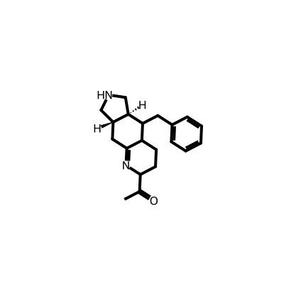 CC(=O)C1CCC2C(=N1)C[C@@H]1CNC[C@H]1C2Cc1ccccc1